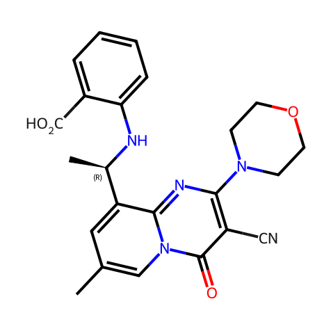 Cc1cc([C@@H](C)Nc2ccccc2C(=O)O)c2nc(N3CCOCC3)c(C#N)c(=O)n2c1